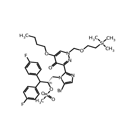 CCCCOc1cn(COCC[Si](C)(C)C)nc(-c2ncc(Br)n2C[C@H](OS(C)(=O)=O)C(c2ccc(F)cc2)c2ccc(F)cc2)c1=O